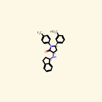 O=C(O)c1cccc([C@H]2C[C@@H](N[C@@H]3CCc4ccccc43)C(=O)N2c2ccc(C(F)(F)F)cc2)c1